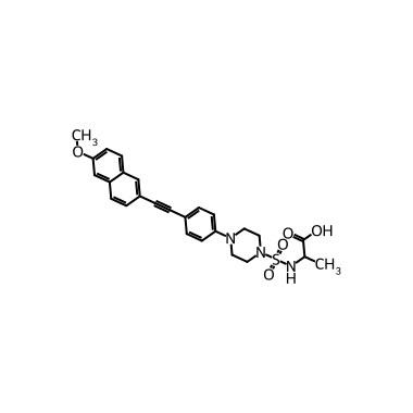 COc1ccc2cc(C#Cc3ccc(N4CCN(S(=O)(=O)NC(C)C(=O)O)CC4)cc3)ccc2c1